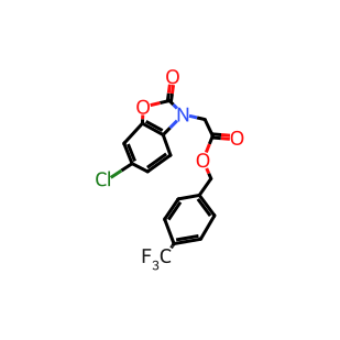 O=C(Cn1c(=O)oc2cc(Cl)ccc21)OCc1ccc(C(F)(F)F)cc1